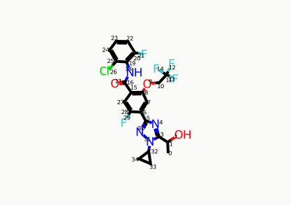 CC(O)c1nc(-c2cc(OCC(F)(F)F)c(C(=O)Nc3c(F)cccc3Cl)cc2F)nn1C1CC1